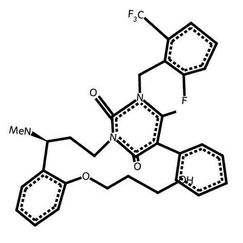 CN[C@@H](CCn1c(=O)c(-c2ccccc2)c(C)n(Cc2c(F)cccc2C(F)(F)F)c1=O)c1ccccc1OCCCO